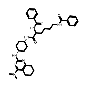 CN(C)c1nc(N[C@H]2CC[C@@H](NC(=O)C(CCCCNC(=O)c3ccccc3)NC(=O)c3ccccc3)CC2)nc2c1CCCC2